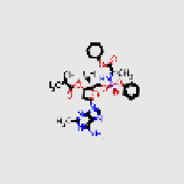 C#C[C@]1(CO[P@@](=O)(N[C@@H](C)C(=O)OC2CCCCC2)Oc2ccccc2)O[C@@H](n2cnc3c(N)nc(C)nc32)C[C@@H]1OC(=O)C(C)C